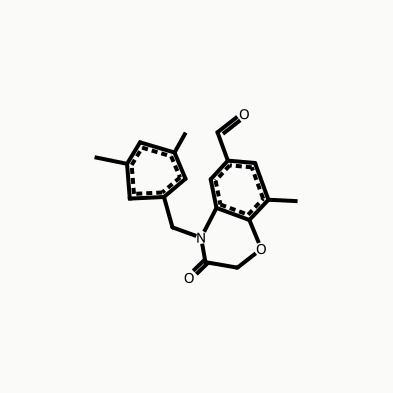 Cc1cc(C)cc(CN2C(=O)COc3c(C)cc(C=O)cc32)c1